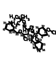 COc1ccc(S(=O)(=O)N(Cc2cccnc2)[C@@H](C(=O)NOC(C)(C)C)[C@@H](C)OCc2cccnc2)cc1